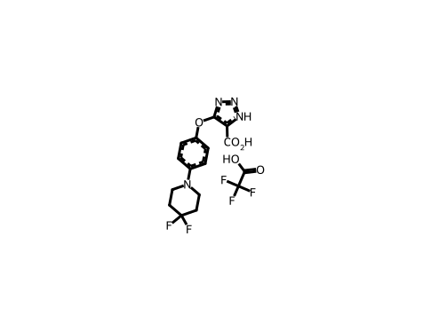 O=C(O)C(F)(F)F.O=C(O)c1[nH]nnc1Oc1ccc(N2CCC(F)(F)CC2)cc1